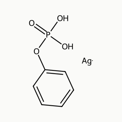 O=P(O)(O)Oc1ccccc1.[Ag]